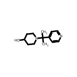 CC(C)(c1ccncc1)N1CCC(O)CC1